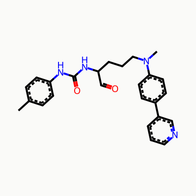 Cc1ccc(NC(=O)NC(C=O)CCCN(C)c2ccc(-c3cccnc3)cc2)cc1